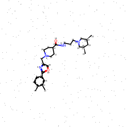 Cc1ccc(-c2nc(CN3CCC(C(=O)NCCCN4C[C@H](C)C[C@H](C)C4)CC3)co2)cc1C